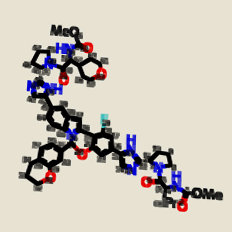 COC(=O)N[C@H](C(=O)N1CCC[C@H]1c1ncc(-c2cc(F)c3c(c2)OC(c2ccc4c(c2)OCCC4)n2c-3cc3cc(-c4cnc([C@@H]5CCCN5C(=O)[C@@H](NC(=O)OC)C5CCOCC5)[nH]4)ccc32)[nH]1)C(C)C